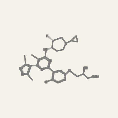 CNC[C@H](O)COc1ccc(Cl)c(-c2nc(N[C@H]3CCN(C4CC4)C[C@H]3F)c(C)c(-c3c(C)noc3C)n2)c1